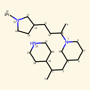 CC(CC1CCCN(C(C)CCC2CCN(C(C)C)C2)C1)C1CCNCC1